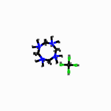 C[N+]1(C)[SiH2][N+](C)(C)[SiH2][N+](C)(C)[SiH2][N+](C)(C)[SiH2]1.[Cl][Co]([Cl])([Cl])[Cl]